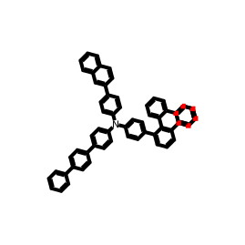 c1ccc(-c2ccc(-c3ccc(N(c4ccc(-c5ccc6ccccc6c5)cc4)c4ccc(-c5cccc(-c6ccccc6)c5-c5ccccc5-c5ccccc5)cc4)cc3)cc2)cc1